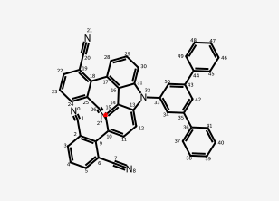 N#Cc1cccc(C#N)c1-c1ccc2c(c1)c1c(-c3c(C#N)cccc3C#N)cccc1n2-c1cc(-c2ccccc2)cc(-c2ccccc2)c1